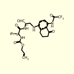 C=CCOC(=O)N[C@H](C(=O)N[C@H](C=O)CNc1ccc(NC(=O)C(F)(F)F)c2c1CCCC2=O)C(C)C